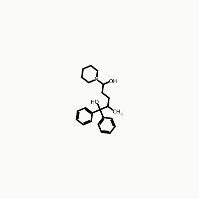 CC(CCC(O)N1CCCCC1)C(O)(c1ccccc1)c1ccccc1